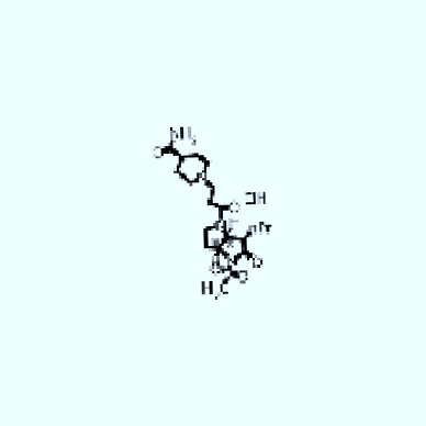 CCCC1C(=O)N(S(C)(=O)=O)[C@@H]2CCN(C(=O)CCN3CCC(C(N)=O)CC3)[C@@H]12.Cl